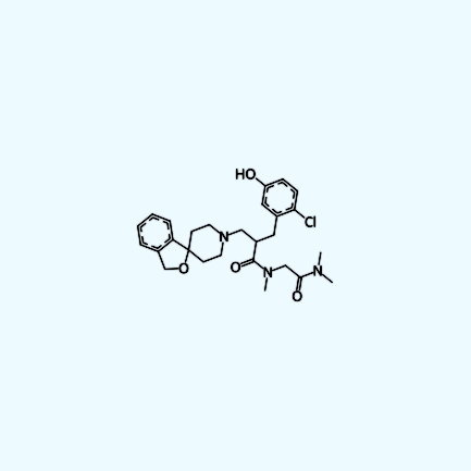 CN(C)C(=O)CN(C)C(=O)C(Cc1cc(O)ccc1Cl)CN1CCC2(CC1)OCc1ccccc12